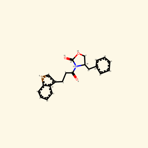 O=C(CCc1csc2ccccc12)N1C(=O)OCC1Cc1ccccc1